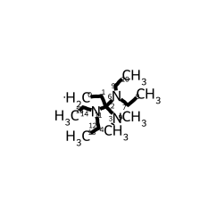 [CH2]CC(N(C)C)(N(CC)CC)N(CC)CC